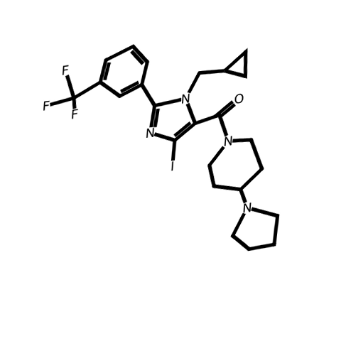 O=C(c1c(I)nc(-c2cccc(C(F)(F)F)c2)n1CC1CC1)N1CCC(N2CCCC2)CC1